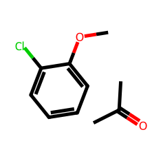 CC(C)=O.COc1ccccc1Cl